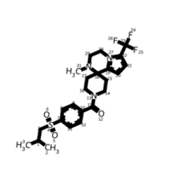 CC(C)CS(=O)(=O)c1ccc(C(=O)N2CCC3(CC2)c2ccc(C(F)(F)F)n2CCN3C)cc1